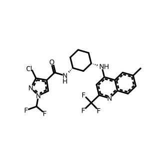 Cc1ccc2nc(C(F)(F)F)cc(N[C@H]3CCC[C@@H](NC(=O)c4cn(C(F)F)nc4Cl)C3)c2c1